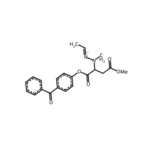 C/C=N/N(C)C(CC(=O)OC)C(=O)Oc1ccc(C(=O)c2ccccc2)cc1